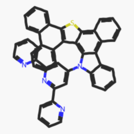 c1ccc(-c2cc(-n3c4ccccc4c4c5ccccc5c5sc6c7ccccc7c7ccccc7c6c5c43)cc(-c3ccccn3)n2)nc1